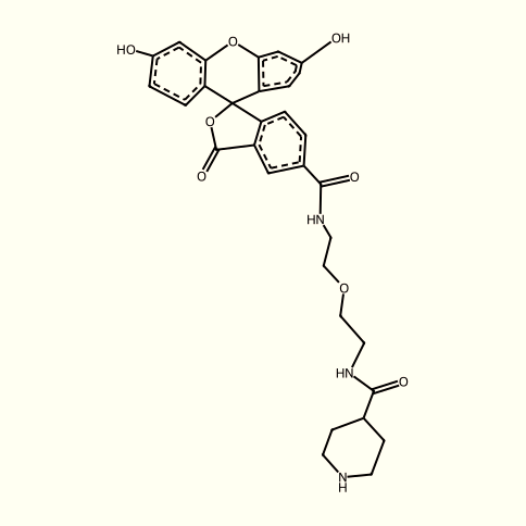 O=C(NCCOCCNC(=O)C1CCNCC1)c1ccc2c(c1)C(=O)OC21c2ccc(O)cc2Oc2cc(O)ccc21